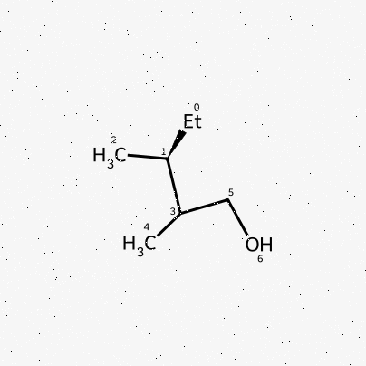 CC[C@H](C)C(C)CO